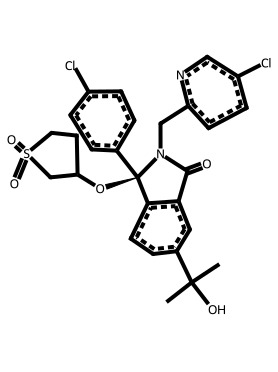 CC(C)(O)c1ccc2c(c1)C(=O)N(Cc1ccc(Cl)cn1)[C@@]2(OC1CCS(=O)(=O)C1)c1ccc(Cl)cc1